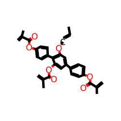 C=C(C)C(=O)Oc1ccc(-c2cc(OC/C=C/C)c(-c3ccc(OC(=O)C(=C)C)cc3)c(OC(=O)C(=C)C)c2)cc1